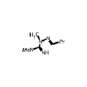 CNC(=N)N(C)/N=C/C(C)C